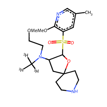 [2H]C([2H])([2H])N(CCOC)C1CC2(CCNCC2)OC1S(=O)(=O)c1cc(C)cnc1OC